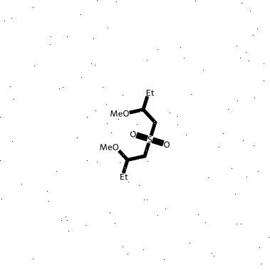 CCC(CS(=O)(=O)CC(CC)OC)OC